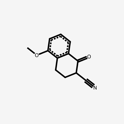 COc1cccc2c1CCC(C#N)C2=O